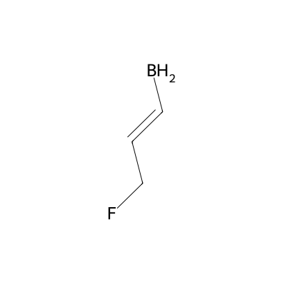 B/C=C/CF